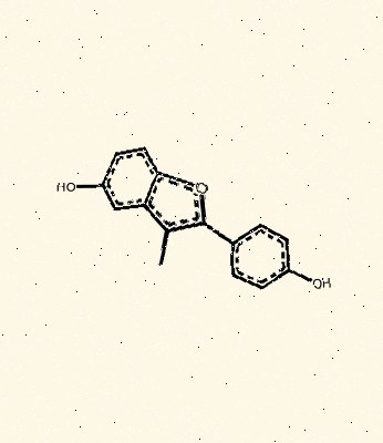 Cc1c(-c2ccc(O)cc2)oc2ccc(O)cc12